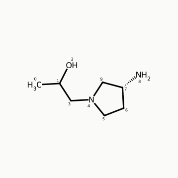 CC(O)CN1CC[C@@H](N)C1